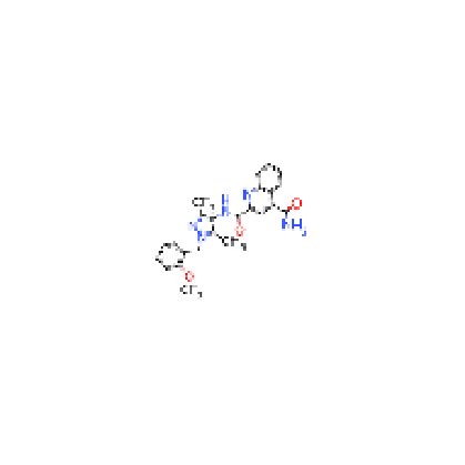 Cc1c(NC(=O)c2cc(C(N)=O)c3ccccc3n2)c(C(F)(F)F)nn1Cc1ccccc1OC(F)(F)F